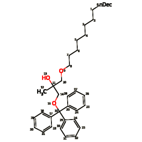 CCCCCCCCCCCCCCCCCCOCC(C)(O)COC(c1ccccc1)(c1ccccc1)c1ccccc1